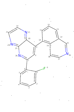 Fc1ccccc1-c1cc(-c2cccc3cnccc23)c2nccnc2n1